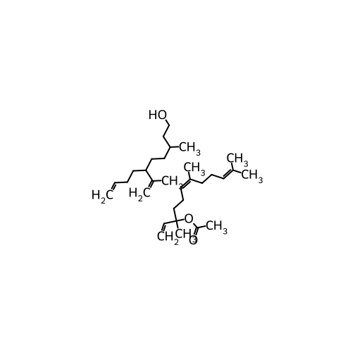 C=CC(C)(CCC=C(C)CCC=C(C)C)OC(C)=O.C=CCCC(CCC(C)CCO)C(=C)C